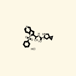 CC(NC(=O)[C@@H]1CC2(CC2)CN1)c1cc2cnccc2n1S(=O)(=O)c1ccccc1.Cl